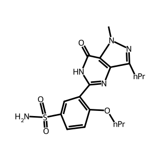 CCCOc1ccc(S(N)(=O)=O)cc1-c1nc2c(CCC)nn(C)c2c(=O)[nH]1